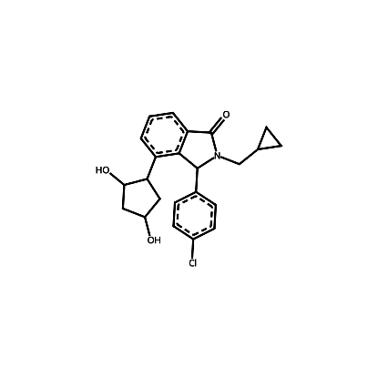 O=C1c2cccc(C3CC(O)CC3O)c2C(c2ccc(Cl)cc2)N1CC1CC1